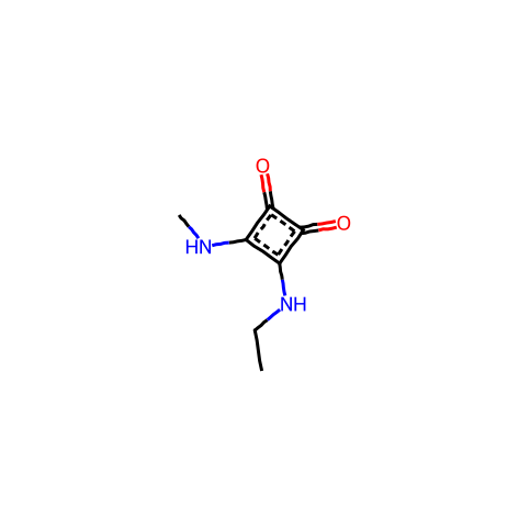 CCNc1c(NC)c(=O)c1=O